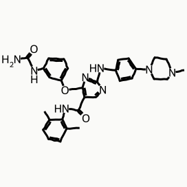 Cc1cccc(C)c1NC(=O)c1cnc(Nc2ccc(N3CCN(C)CC3)cc2)nc1Oc1cccc(NC(N)=O)c1